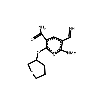 CNc1nc(OC2CCCCC2)c(C(N)=O)cc1C=N